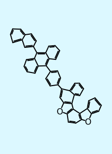 c1ccc2cc(-c3c4ccccc4c(-c4ccc(-c5cc6oc7ccc8oc9ccccc9c8c7c6c6ccccc56)cc4)c4ccccc34)ccc2c1